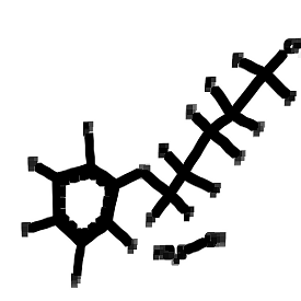 Fc1c(F)c(F)c([I+]C(F)(F)C(F)(F)C(F)(F)C(F)(F)C(F)(F)C(F)(F)F)c(F)c1F.O=S(=O)(O)O